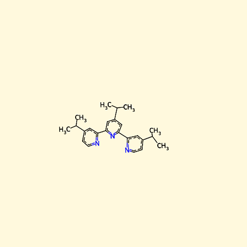 CC(C)c1ccnc(-c2cc(C(C)C)cc(-c3cc(C(C)C)ccn3)n2)c1